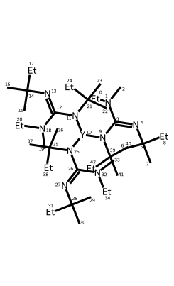 CCN(C)C(=NC(C)(C)CC)[N]([Y]([N](C(=NC(C)(C)CC)N(C)CC)C(C)(C)CC)[N](C(=NC(C)(C)CC)N(C)CC)C(C)(C)CC)C(C)(C)CC